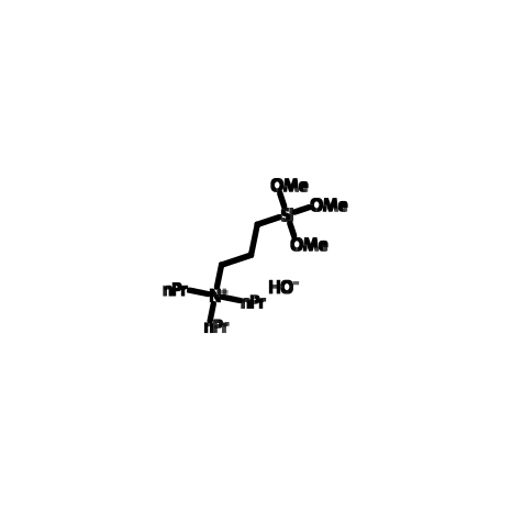 CCC[N+](CCC)(CCC)CCC[Si](OC)(OC)OC.[OH-]